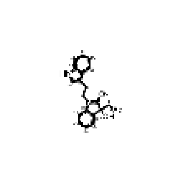 CC(=O)CC1(O)C(=O)N(CCc2c[nH]c3ccccc23)c2ccccc21